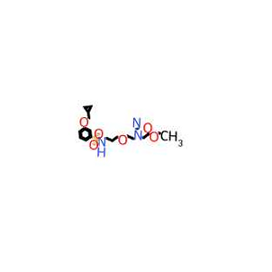 CCOC(=O)CN(C#N)CCOCCCNS(=O)(=O)c1cccc(OCC2CC2)c1